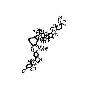 [2H]C1([2H])N(CC2CCC(Oc3cc4c(Nc5ccc(Cl)c(Cl)c5F)ncnc4cc3OC)CC2)C([2H])([2H])C([2H])([2H])N(c2cc3c(c(F)c2F)C(=O)N(C2CCC(=O)NC2=O)C3=O)C1([2H])[2H]